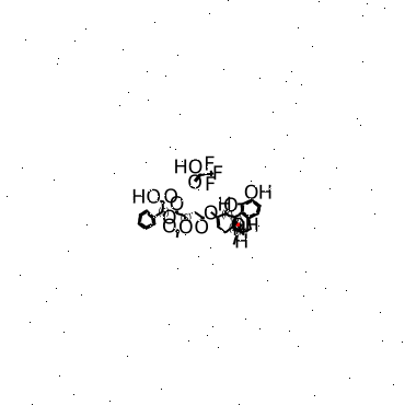 CC(=O)O[C@@H](CC(=O)OC1=CC[C@@]2(O)[C@H]3Cc4ccc(O)c5c4[C@@]2(CCN3C)[C@H]1O5)C(=O)O[C@H](C(=O)O)c1ccccc1.O=C(O)C(F)(F)F